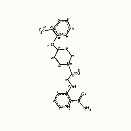 NC(=O)c1ncccc1NCC(=O)N1CCC(Oc2ccccc2C(F)(F)F)CC1